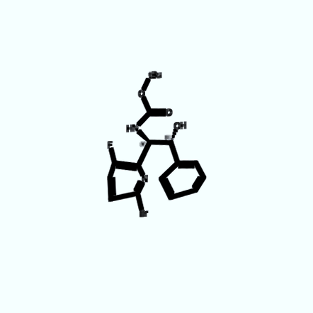 CC(C)(C)OC(=O)N[C@H](c1nc(Br)ccc1F)[C@H](O)c1ccccc1